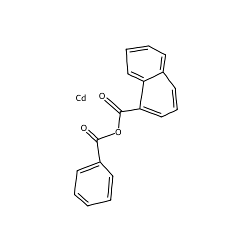 O=C(OC(=O)c1cccc2ccccc12)c1ccccc1.[Cd]